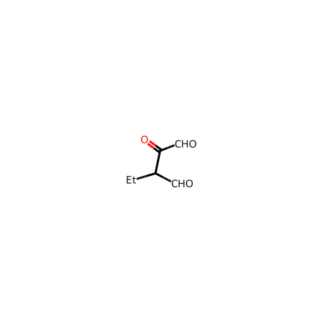 CCC(C=O)C(=O)C=O